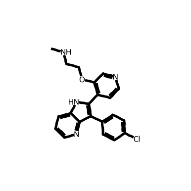 CNCCOc1cnccc1-c1[nH]c2cccnc2c1-c1ccc(Cl)cc1